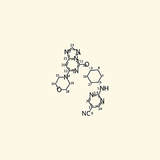 N#Cc1cnc(N[C@H]2CC[C@@H](Oc3nc(N4CCOCC4)cc4ncnn34)CC2)nc1